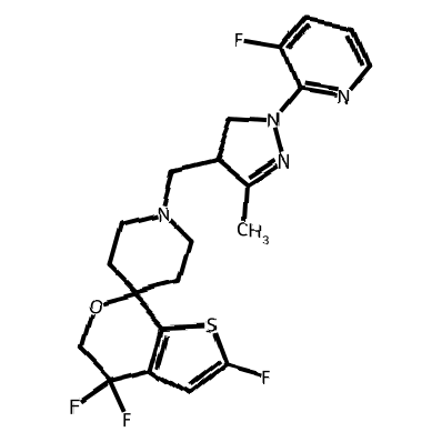 CC1=NN(c2ncccc2F)CC1CN1CCC2(CC1)OCC(F)(F)c1cc(F)sc12